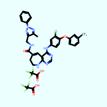 Cc1nn(-c2ccccc2)nc1CNC(=O)C1=Cc2c(ncnc2Nc2ccc(Oc3cccc(C(F)(F)F)c3)c(Cl)c2)NCC1.O=C(O)C(F)(F)F.O=C(O)C(F)(F)F